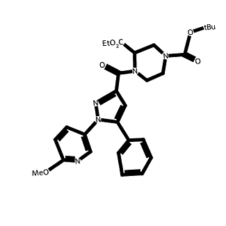 CCOC(=O)C1CN(C(=O)OC(C)(C)C)CCN1C(=O)c1cc(-c2ccccc2)n(-c2ccc(OC)nc2)n1